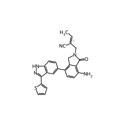 C/C=C(\C#N)CN1Cc2c(-c3ccc4[nH]nc(-c5cccs5)c4c3)ccc(N)c2C1=O